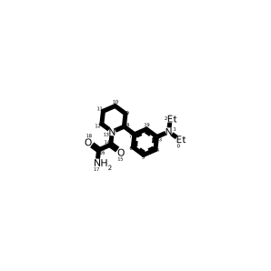 CCN(CC)c1cccc(C2CCCCN2C(=O)C(N)=O)c1